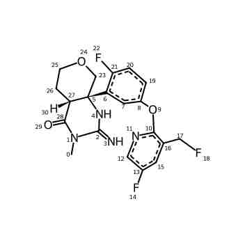 CN1C(=N)N[C@@]2(c3cc(Oc4ncc(F)cc4CF)ccc3F)COCC[C@H]2C1=O